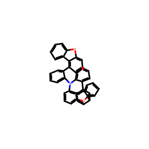 c1ccc(-c2ccccc2N(c2ccccc2-c2cccc3oc4ccccc4c23)c2cccc3oc4ccccc4c23)cc1